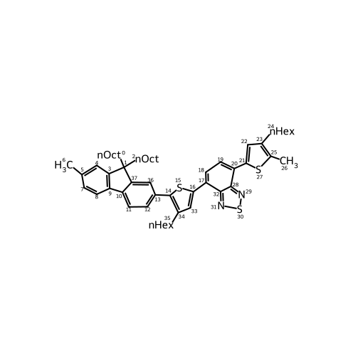 CCCCCCCCC1(CCCCCCCC)c2cc(C)ccc2-c2ccc(-c3sc(-c4ccc(-c5cc(CCCCCC)c(C)s5)c5nsnc45)cc3CCCCCC)cc21